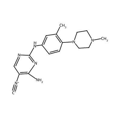 [C-]#[N+]c1cnc(Nc2ccc(N3CCN(C)CC3)c(C)c2)nc1N